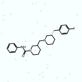 O=C(Nc1ccccc1)N1CCCC(CN2CCC[C@@H](Cc3ccc(F)cc3)C2)C1